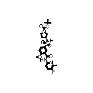 COc1ccc(S(=O)(=O)N[C@H]2CCN(C(=O)OC(C)(C)C)C2)cc1C(=O)Nc1ccc(F)c(C)n1